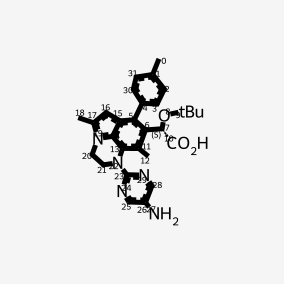 Cc1ccc(-c2c([C@H](OC(C)(C)C)C(=O)O)c(C)c3c4c2cc(C)n4CCN3c2ncc(N)cn2)cc1